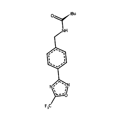 CC[C@H](C)C(=O)NCc1ccc(-c2noc(C(F)(F)F)n2)cc1